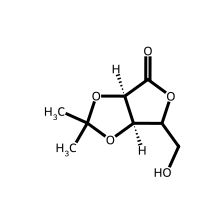 CC1(C)O[C@@H]2C(CO)OC(=O)[C@@H]2O1